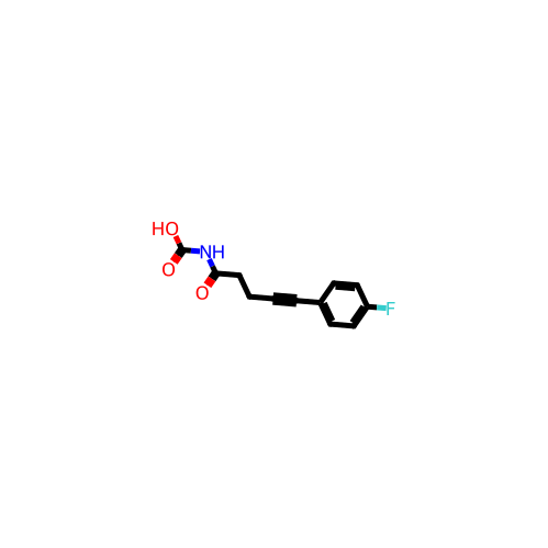 O=C(O)NC(=O)CCC#Cc1ccc(F)cc1